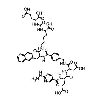 NNc1ccc(C(=O)NC(CCC(=O)O)C(=O)NC(CC(=O)O)C(=O)NCc2ccc(C(=O)NC(Cc3ccc4ccccc4c3)C(=O)NCCCCC(NC(=O)NC(CCC(=O)O)C(=O)O)C(=O)O)cc2)cn1